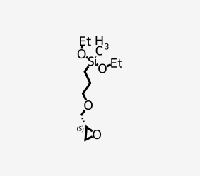 CCO[Si](C)(CCCOC[C@H]1CO1)OCC